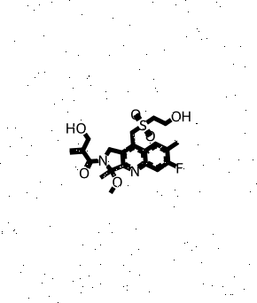 C=C(CO)C(=O)N1Cc2c(nc3cc(F)c(C)cc3c2CS(=O)(=O)CCO)C1(C)OC